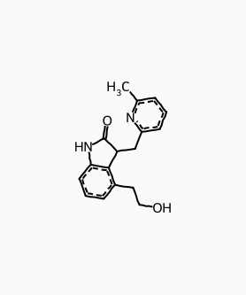 Cc1cccc(CC2C(=O)Nc3cccc(CCO)c32)n1